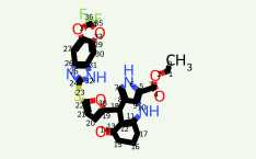 CCOC(=O)c1[nH]cc2c1NC1=C(C(=O)CCC1)C2c1ccc(Sc2nc3cc4c(cc3[nH]2)OC(F)(F)O4)o1